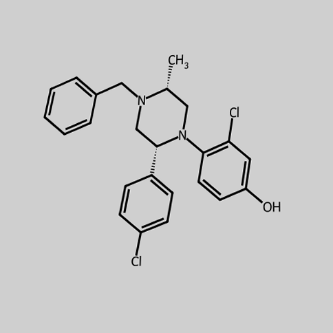 C[C@@H]1CN(c2ccc(O)cc2Cl)[C@H](c2ccc(Cl)cc2)CN1Cc1ccccc1